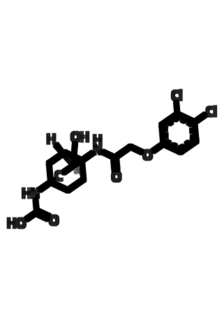 O=C(O)NC12CCC(NC(=O)COc3ccc(Cl)c(Cl)c3)(CC1)[C@@H](O)C2